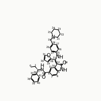 CC[C@@H](NC(=O)c1ccc2c(c1)/C(=C(/Nc1ccc(CN3CCCCC3)cc1)c1ccco1)C(=O)N2)c1ccccc1